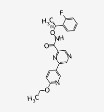 CCOc1ccc(-c2cncc(C(=O)NO[C@@H](C)c3ccccc3F)n2)cn1